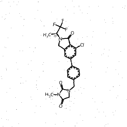 C[C@H](N1Cc2cc(-c3ccc(CN4CC(=O)N(C)C4=O)cc3)cc(Cl)c2C1=O)C(F)(F)F